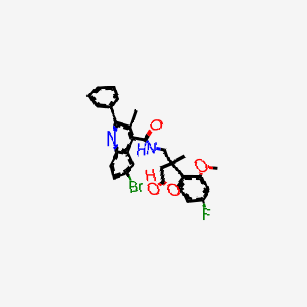 COc1cc(F)ccc1C(C)(CNC(=O)c1c(C)c(-c2ccccc2)nc2ccc(Br)cc12)CC(=O)O